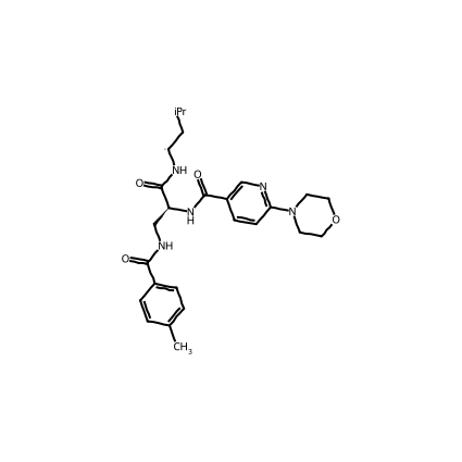 Cc1ccc(C(=O)NC[C@H](NC(=O)c2ccc(N3CCOCC3)nc2)C(=O)N[CH]CC(C)C)cc1